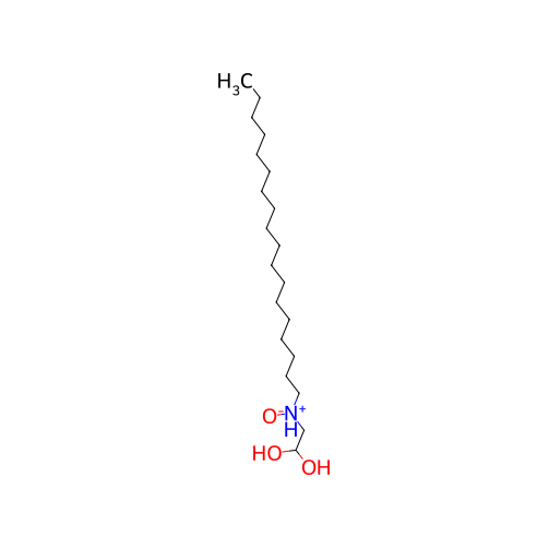 CCCCCCCCCCCCCCCCCC[NH+]([O-])CC(O)O